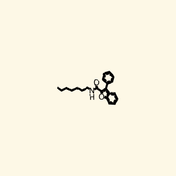 CCCCCCCNC(=O)c1oc2ccccc2c1-c1ccccc1